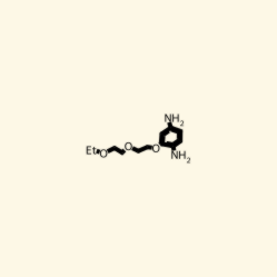 CCOCCOCCOc1cc(N)ccc1N